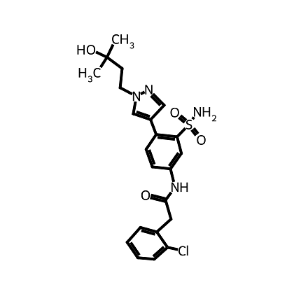 CC(C)(O)CCn1cc(-c2ccc(NC(=O)Cc3ccccc3Cl)cc2S(N)(=O)=O)cn1